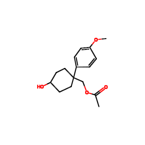 COc1ccc(C2(COC(C)=O)CCC(O)CC2)cc1